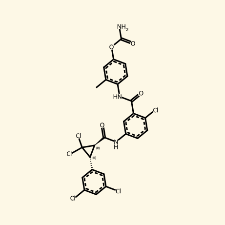 Cc1cc(OC(N)=O)ccc1NC(=O)c1cc(NC(=O)[C@H]2[C@H](c3cc(Cl)cc(Cl)c3)C2(Cl)Cl)ccc1Cl